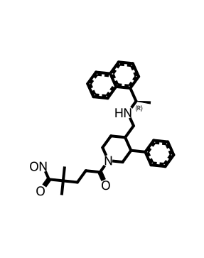 C[C@@H](NCC1CCN(C(=O)CCC(C)(C)C(=O)N=O)CC1c1ccccc1)c1cccc2ccccc12